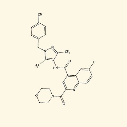 Cc1c(NC(=O)c2cc(C(=O)N3CCOCC3)nc3ccc(F)cc23)c(C(F)(F)F)nn1Cc1ccc(C#N)cc1